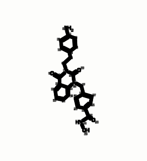 Nc1ccc(CCn2c(=O)c3ccccc3n(Cc3ccc(C(=O)NO)cc3)c2=O)cc1